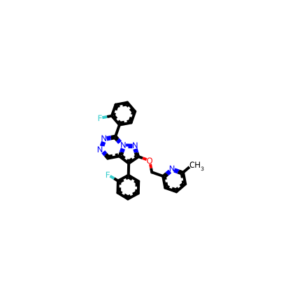 Cc1cccc(COc2nn3c(-c4ccccc4F)nncc3c2-c2ccccc2F)n1